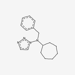 c1ccc(CN(C2CCCCCC2)n2ccnn2)cc1